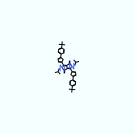 C=c1c2c(C3=CC=C(c4ccc(C(C)(C)C)cc4)C3)n(CC(C)C)c(=C)c2c(C2=CC=C(c3ccc(C(C)(C)C)cc3)C2)n1CC(C)C